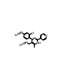 CC1=C(CN=[N+]=[N-])C(c2ccc(N=[N+]=[N-])cc2Cl)N=C(c2ccncc2)N1